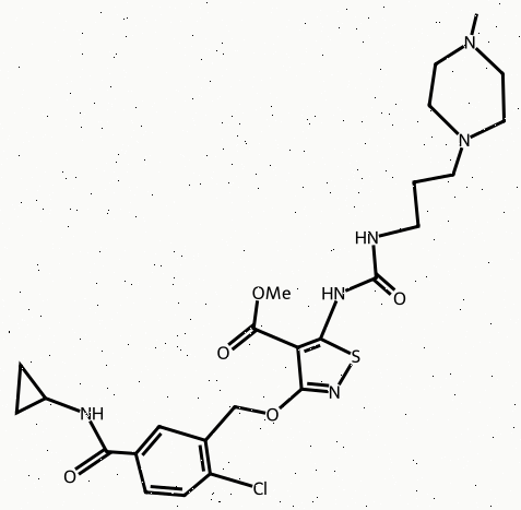 COC(=O)c1c(OCc2cc(C(=O)NC3CC3)ccc2Cl)nsc1NC(=O)NCCCN1CCN(C)CC1